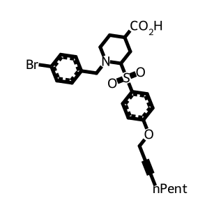 CCCCCC#CCOc1ccc(S(=O)(=O)C2CC(C(=O)O)CCN2Cc2ccc(Br)cc2)cc1